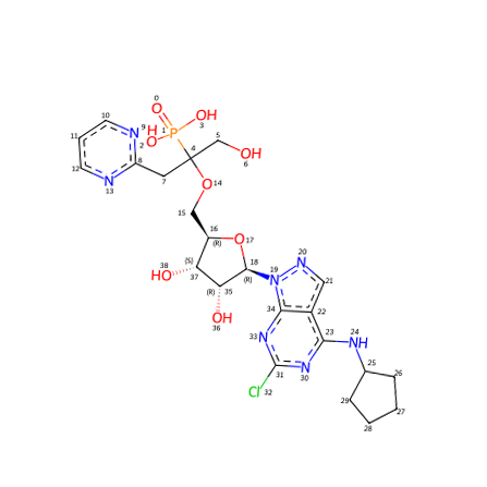 O=P(O)(O)C(CO)(Cc1ncccn1)OC[C@H]1O[C@@H](n2ncc3c(NC4CCCC4)nc(Cl)nc32)[C@H](O)[C@@H]1O